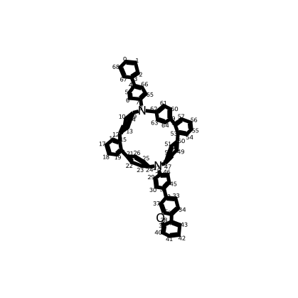 c1ccc(-c2ccc(N3c4ccc(cc4)-c4ccccc4-c4ccc(cc4)N(c4ccc(-c5ccc6c(c5)oc5ccccc56)cc4)c4ccc(cc4)-c4ccccc4-c4ccc3cc4)cc2)cc1